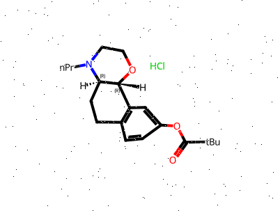 CCCN1CCO[C@@H]2c3cc(OC(=O)C(C)(C)C)ccc3CC[C@H]21.Cl